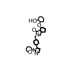 O=C1c2c(cccc2OC2CCCCC2O)CN1Cc1ccc(-c2ccnn2C2CCCCO2)cc1